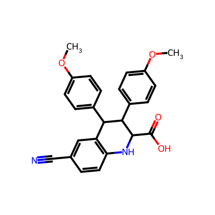 COc1ccc(C2c3cc(C#N)ccc3NC(C(=O)O)C2c2ccc(OC)cc2)cc1